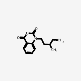 CCC(C)CCn1c(=O)oc(=O)c2ccccc21